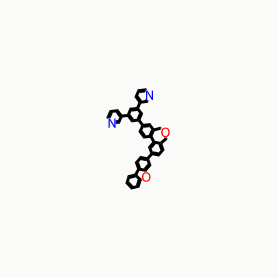 c1cncc(-c2cc(-c3cccnc3)cc(-c3ccc4c(c3)COCc3ccc(-c5ccc6c(c5)oc5ccccc56)cc3-4)c2)c1